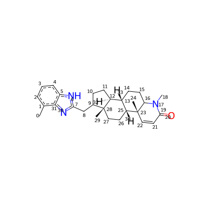 Cc1cccc2[nH]c(CC3CC[C@H]4[C@@H]5CCC6N(C)C(=O)C=C[C@]6(C)[C@@H]5CC[C@]34C)nc12